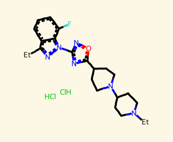 CCc1nn(-c2noc(C3CCN(C4CCN(CC)CC4)CC3)n2)c2c(F)cccc12.Cl.Cl